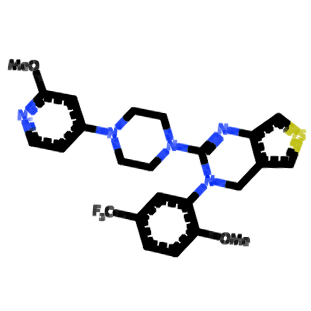 COc1cc(N2CCN(C3=Nc4cscc4CN3c3cc(C(F)(F)F)ccc3OC)CC2)ccn1